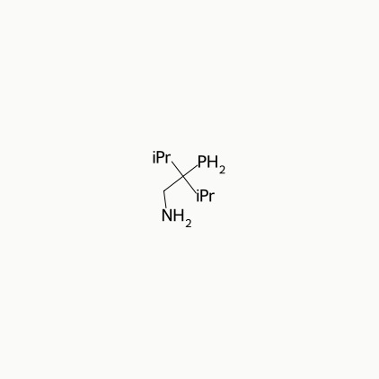 CC(C)C(P)(CN)C(C)C